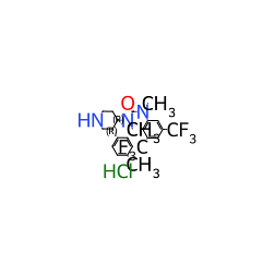 Cc1ccc([C@@H]2CNCC[C@H]2N(C)C(=O)N(C)c2cc(C(F)(F)F)cc(C(F)(F)F)c2)cc1.Cl